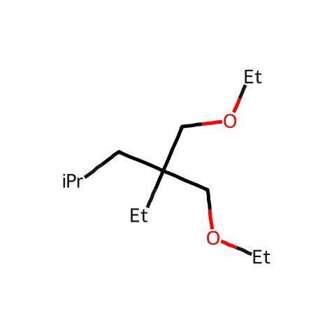 CCOCC(CC)(COCC)CC(C)C